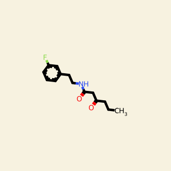 CCCC(=O)CC(=O)NCCc1cccc(F)c1